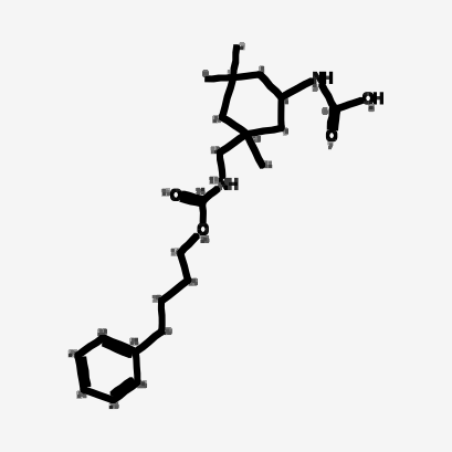 CC1(C)CC(NC(=O)O)CC(C)(CNC(=O)OCCCCc2ccccc2)C1